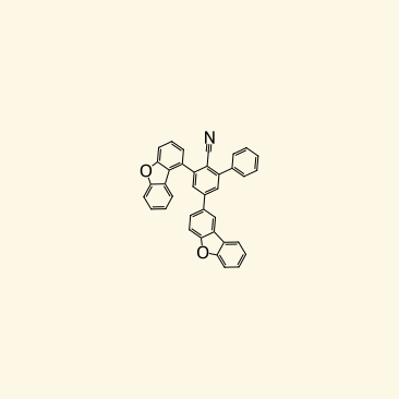 N#Cc1c(-c2ccccc2)cc(-c2ccc3oc4ccccc4c3c2)cc1-c1cccc2oc3ccccc3c12